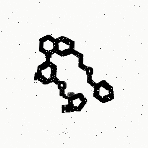 c1ccc(COCCc2ccc3c(c2)N(c2cncc(OC[C@@H]4CCCN4)c2)CCC3)cc1